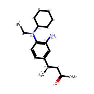 COC(=O)C[C@@H](C)c1ccc(N(CC(C)C)C2CCCCC2)c(N)c1